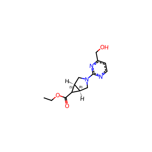 CCOC(=O)C1[C@H]2CN(c3nccc(CO)n3)C[C@@H]12